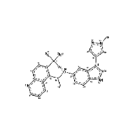 [2H]C([2H])([2H])c1ccc2ncccc2c1C(C)Oc1ccc2[nH]nc(-c3cnn(C)c3)c2c1